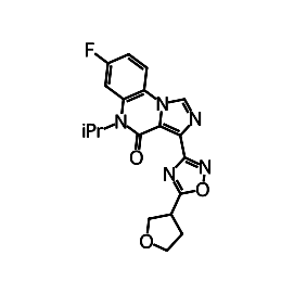 CC(C)n1c(=O)c2c(-c3noc(C4CCOC4)n3)ncn2c2ccc(F)cc21